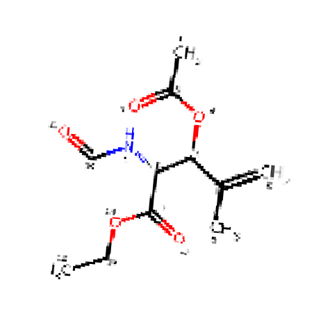 C=C(C)[C@H](OC(C)=O)[C@@H](NC=O)C(=O)OCC